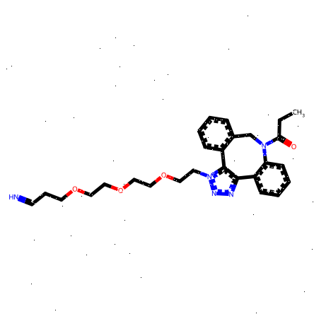 CCC(=O)N1Cc2ccccc2-c2c(nnn2CCOCCOCCOCCC=N)-c2ccccc21